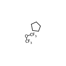 C1CCCC1.FC(F)(F)OC(F)(F)F